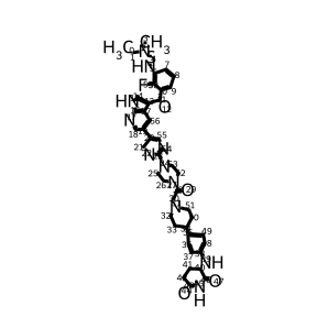 CCN(C)SNc1cccc(C(=O)c2c[nH]c3ncc(-c4cnc(N5CCN(C(=O)CN6CCC(c7ccc(NC8CCC(=O)NC8=O)cc7)CC6)CC5)nc4)cc23)c1F